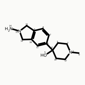 CN1CCC(O)(c2ccc3c(c2)CN(N)C3)CC1